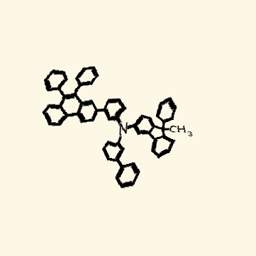 CC1(c2ccccc2)c2ccccc2-c2cc(N(c3cccc(-c4ccccc4)c3)c3cccc(-c4ccc5c(c4)c(-c4ccccc4)c(-c4ccccc4)c4ccccc45)c3)ccc21